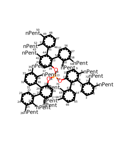 CCCCCc1cccc(-c2c(CCCCC)ccc(OP(Oc3ccc(CCCCC)c(-c4cccc(CCCCC)c4CCCCC)c3-c3cccc(CCCCC)c3CCCCC)Oc3ccc(CCCCC)c(-c4cccc(CCCCC)c4CCCCC)c3-c3cccc(CCCCC)c3CCCCC)c2-c2cccc(CCCCC)c2CCCCC)c1CCCCC